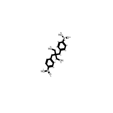 O=[N+](O)c1ccc(CC(CO)(CO)Cc2ccc([N+](=O)O)cc2)cc1